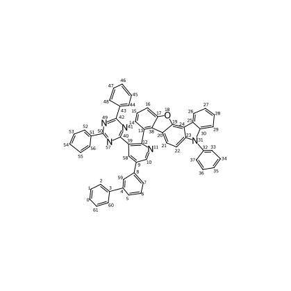 c1ccc(-c2cccc(-c3cnc(-c4cccc5oc6c(ccc7c6c6ccccc6n7-c6ccccc6)c45)c(-c4nc(-c5ccccc5)nc(-c5ccccc5)n4)c3)c2)cc1